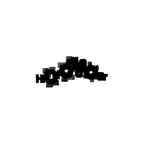 O=S(=O)(c1ccc(Br)cc1)n1ncc2cc(N3CCNCC3)ccc21